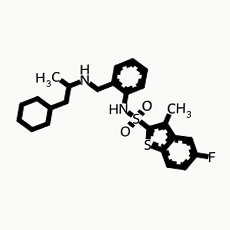 Cc1c(S(=O)(=O)Nc2ccccc2CNC(C)CC2CCCCC2)sc2ccc(F)cc12